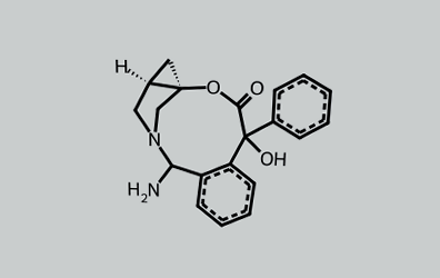 NC1c2ccccc2C(O)(c2ccccc2)C(=O)O[C@]23C[C@@H]2CN1C3